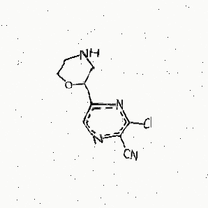 N#Cc1ncc(C2CNCCO2)nc1Cl